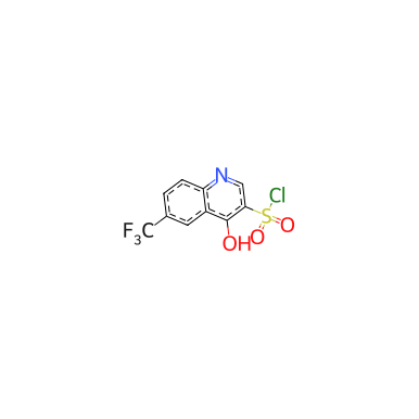 O=S(=O)(Cl)c1cnc2ccc(C(F)(F)F)cc2c1O